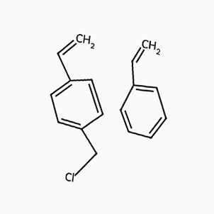 C=Cc1ccc(CCl)cc1.C=Cc1ccccc1